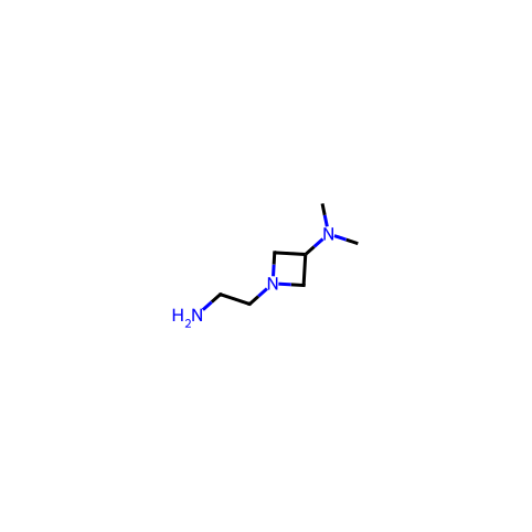 CN(C)C1CN(CCN)C1